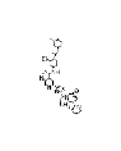 CCC(c1nc(-c2cc3c(Nc4ccc(OCc5cccc(F)c5)c(Cl)c4)ncnc3cn2)cs1)N(C=S(=O)=O)CCc1ccccn1